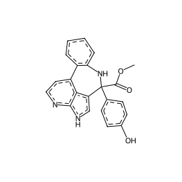 COC(=O)C1(c2ccc(O)cc2)Nc2ccccc2-c2ccnc3[nH]cc1c23